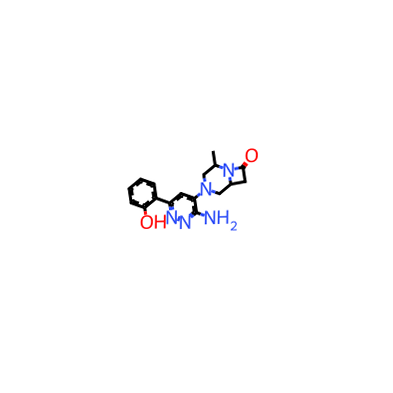 CC1CN(c2cc(-c3ccccc3O)nnc2N)CC2CC(=O)N12